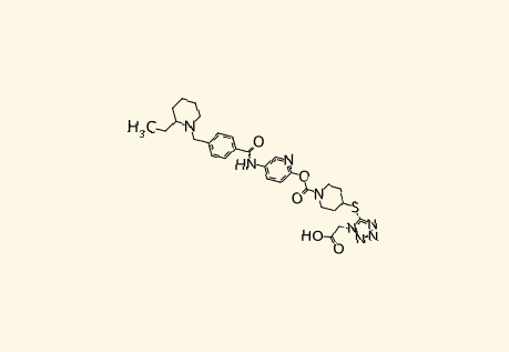 CCC1CCCCN1Cc1ccc(C(=O)Nc2ccc(OC(=O)N3CCC(Sc4nnnn4CC(=O)O)CC3)nc2)cc1